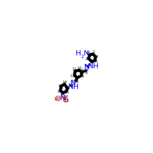 Nc1cccc(N/N=C/c2cccc(/C=N/Nc3cccc([N+](=O)[O-])c3)c2)c1